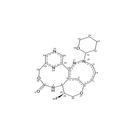 O=C1NC2c3cc(cccn(C4CCCCO4)nc3-c3cncc(n3)CO1)OC[C@H]2F